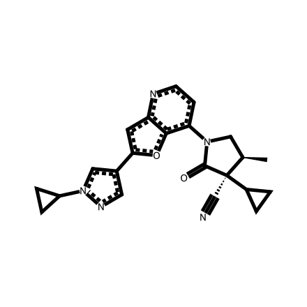 C[C@@H]1CN(c2ccnc3cc(-c4cnn(C5CC5)c4)oc23)C(=O)[C@]1(C#N)C1CC1